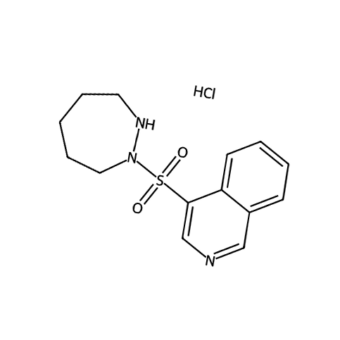 Cl.O=S(=O)(c1cncc2ccccc12)N1CCCCCN1